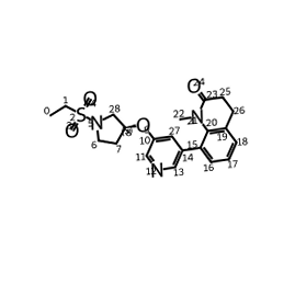 CCS(=O)(=O)N1CC[C@H](Oc2cncc(-c3cccc4c3N(C)C(=O)CC4)c2)C1